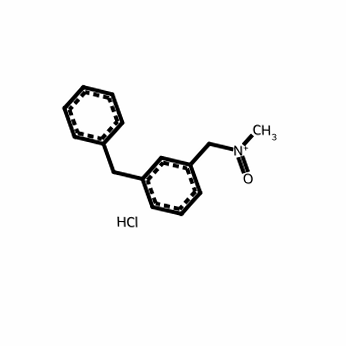 C[N+](=O)Cc1cccc(Cc2ccccc2)c1.Cl